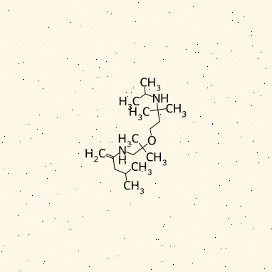 C=C(CC(C)C)NCC(C)(C)OCCC(C)(C)NC(C)C